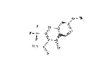 COc1ccn2c(=O)c(C(N)=S)c(C(F)(F)F)nc2c1